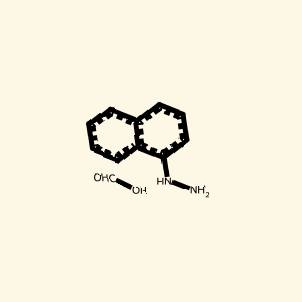 NNc1cccc2ccccc12.O=CO